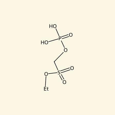 CCOS(=O)(=O)COP(=O)(O)O